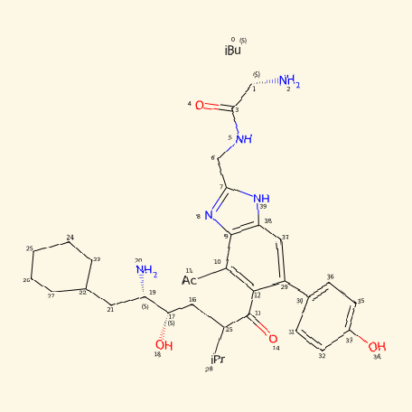 CC[C@H](C)[C@H](N)C(=O)NCc1nc2c(C(C)=O)c(C(=O)C(C[C@H](O)[C@@H](N)CC3CCCCC3)C(C)C)c(-c3ccc(O)cc3)cc2[nH]1